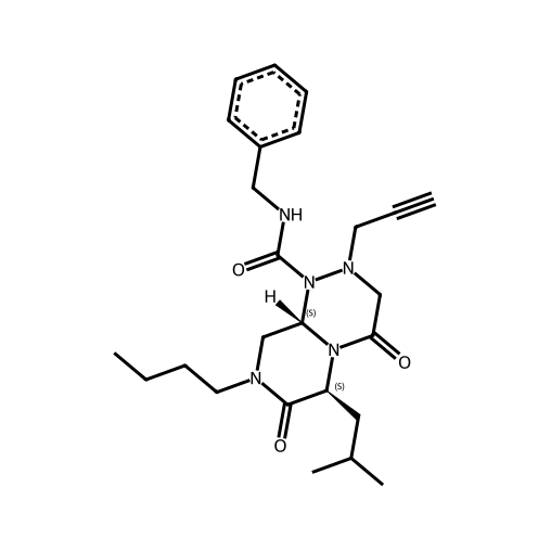 C#CCN1CC(=O)N2[C@@H](CC(C)C)C(=O)N(CCCC)C[C@@H]2N1C(=O)NCc1ccccc1